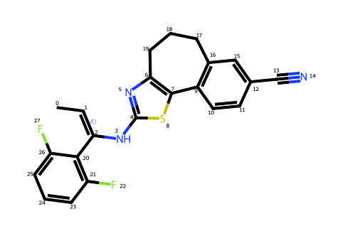 C/C=C(/Nc1nc2c(s1)-c1ccc(C#N)cc1CCC2)c1c(F)cccc1F